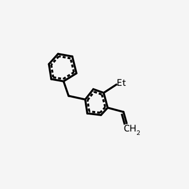 C=Cc1ccc(Cc2ccccc2)cc1CC